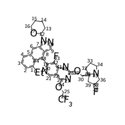 CCc1cccc2cc3c(cnn3C3CCCCO3)c(-c3ncc4c(OCC(F)(F)F)nc(OC[C@@]56CCCN5C[C@H](F)C6)nc4c3F)c12